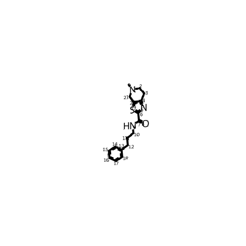 CN1CCc2nc(C(=O)NCCCc3ccccc3)sc2C1